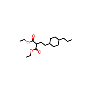 CCCC1CCC(CCC(C(=O)OCC)C(=O)OCC)CC1